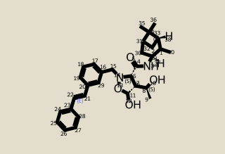 CC1[C@@H](NC(=O)[C@@H]2[C@H]([C@H](C)O)C(O)ON2Cc2cccc(/C=C/c3ccccc3)c2)CC2C[C@@H]1C2(C)C